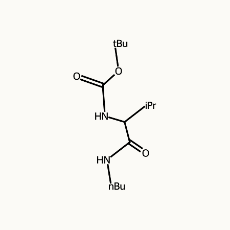 CCCCNC(=O)C(NC(=O)OC(C)(C)C)C(C)C